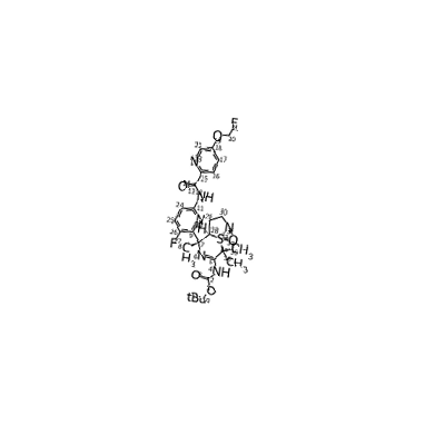 CC(C)(C)OC(=O)NC1=N[C@](C)(c2nc(NC(=O)c3ccc(OCF)cn3)ccc2F)[C@H]2CCN=[S@@]2(=O)C1(C)C